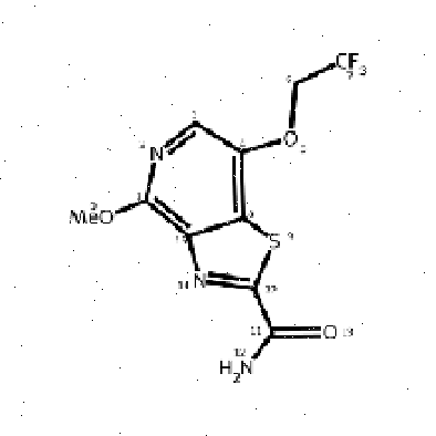 COc1ncc(OCC(F)(F)F)c2sc(C(N)=O)nc12